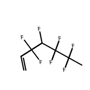 C=CC(F)(F)C(F)C(F)(F)C(C)(F)F